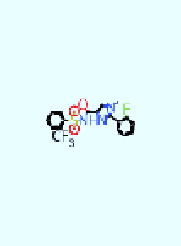 Cn1cc(C(=O)NS(=O)(=O)c2ccccc2C(F)(F)F)nc1-c1ccccc1F